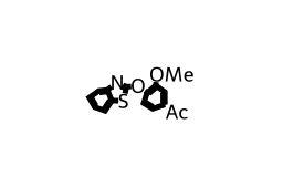 COc1cc(C(C)=O)ccc1Oc1nc2ccccc2s1